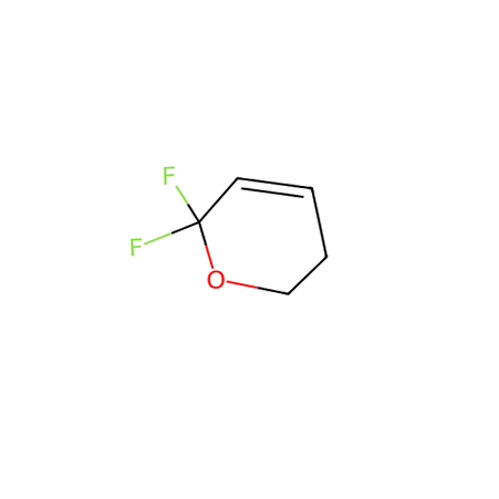 FC1(F)C=CCCO1